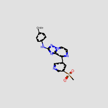 COc1ccc(Nc2nc3c(-c4cncc(S(C)(=O)=O)c4)nccn3n2)cc1